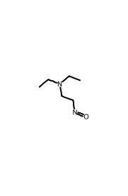 CCN(CC)CCN=O